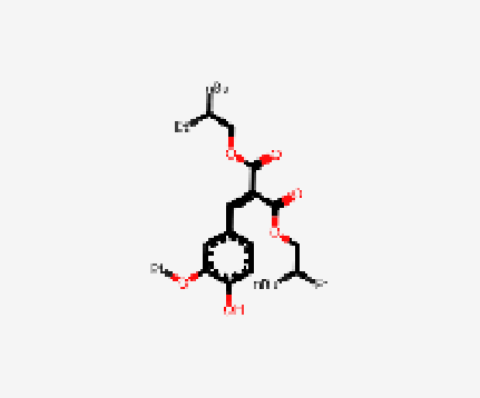 CCCCC(CC)COC(=O)C(=Cc1ccc(O)c(OCC)c1)C(=O)OCC(CC)CCCC